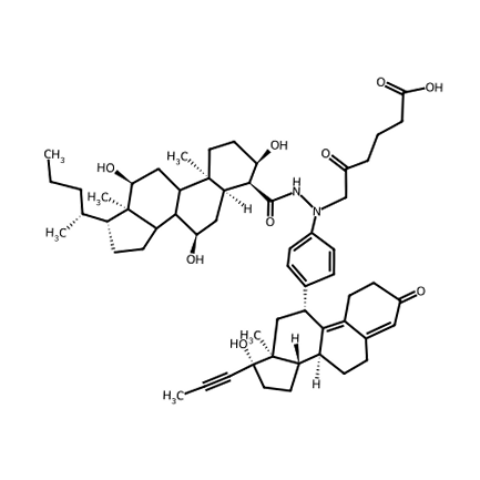 CC#C[C@]1(O)CC[C@H]2[C@@H]3CCC4=CC(=O)CCC4=C3[C@@H](c3ccc(N(CC(=O)CCCC(=O)O)NC(=O)[C@@H]4[C@H](O)CC[C@]5(C)C6C[C@H](O)[C@@]7(C)C(CC[C@@H]7[C@H](C)CCC)C6[C@H](O)C[C@H]45)cc3)C[C@@]21C